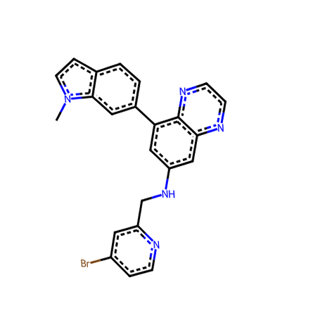 Cn1ccc2ccc(-c3cc(NCc4cc(Br)ccn4)cc4nccnc34)cc21